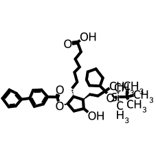 CC(CC[C@H]1C(O)C[C@H](OC(=O)c2ccc(-c3ccccc3)cc2)[C@@H]1CCCCCCC(=O)O)(O[Si](C)(C)C(C)(C)C)C1CCCCC1